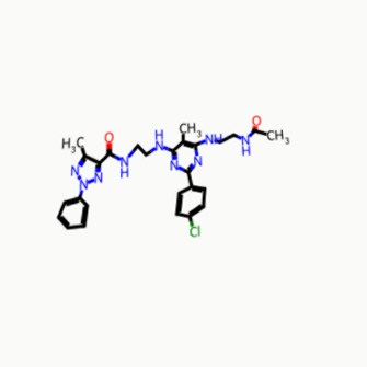 CC(=O)NCCNc1nc(-c2ccc(Cl)cc2)nc(NCCNC(=O)c2nn(-c3ccccc3)nc2C)c1C